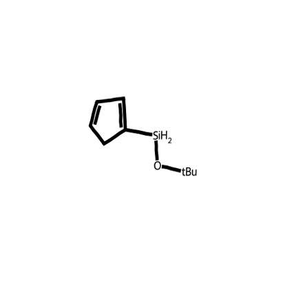 CC(C)(C)O[SiH2]C1=CC=CC1